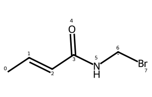 C/C=C/C(=O)N[CH]Br